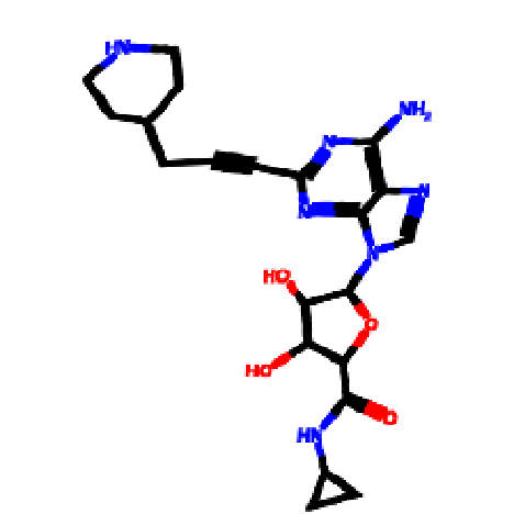 Nc1nc(C#CCC2CCNCC2)nc2c1ncn2C1OC(C(=O)NC2CC2)C(O)C1O